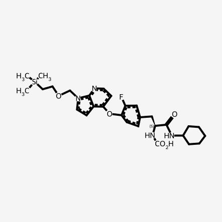 C[Si](C)(C)CCOCn1ccc2c(Oc3ccc(C[C@H](NC(=O)O)C(=O)NC4CCCCC4)cc3F)ccnc21